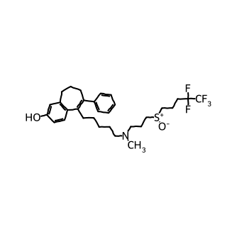 CN(CCCCCC1=C(c2ccccc2)CCCc2cc(O)ccc21)CCC[S+]([O-])CCCC(F)(F)C(F)(F)F